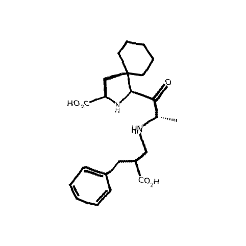 C[C@H](NCC(Cc1ccccc1)C(=O)O)C(=O)C1NC(C(=O)O)CC12CCCCC2